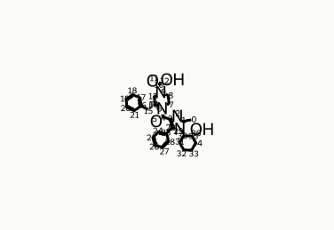 Cc1nc(C(=O)N2CCN(C(=O)O)C[C@H]2Cc2ccccc2)c(-c2ccccc2)n1C1CCCCC1O